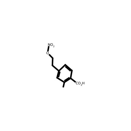 Cc1cc(CCO[N+](=O)[O-])ccc1C(=O)O